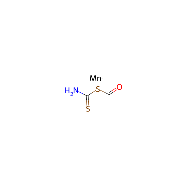 NC(=S)SC=O.[Mn]